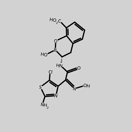 Nc1nc(/C(=N/O)C(=O)N[C@H]2Cc3cccc(C(=O)O)c3OB2O)c(Cl)s1